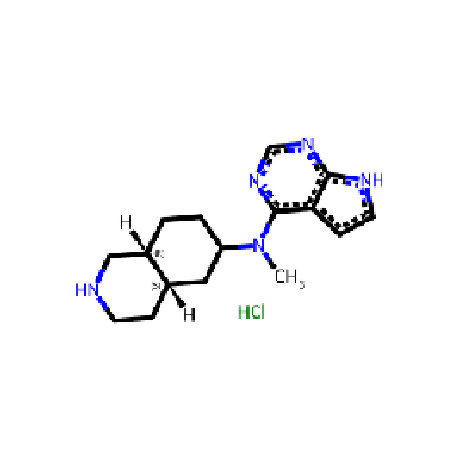 CN(c1ncnc2[nH]ccc12)C1CC[C@H]2CNCC[C@H]2C1.Cl